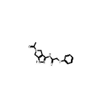 CC(=O)N1Cc2[nH]nc(NC(=O)COc3ccccc3)c2C1